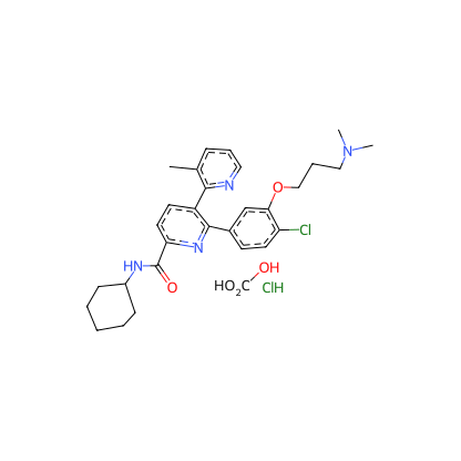 Cc1cccnc1-c1ccc(C(=O)NC2CCCCC2)nc1-c1ccc(Cl)c(OCCCN(C)C)c1.Cl.O=C(O)O